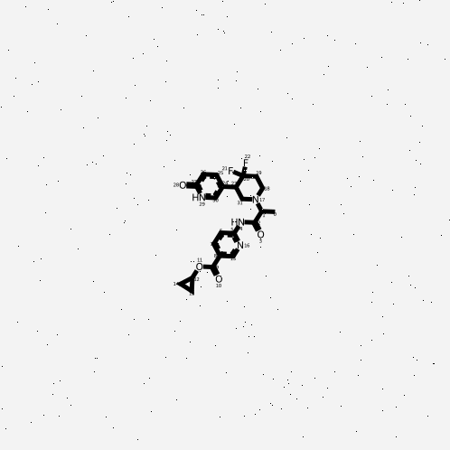 CC(C(=O)Nc1ccc(C(=O)OC2CC2)cn1)N1CCC(F)(F)C(c2ccc(=O)[nH]c2)C1